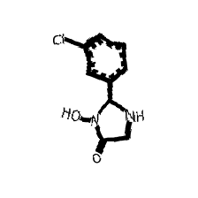 O=C1CNC(c2cccc(Cl)c2)N1O